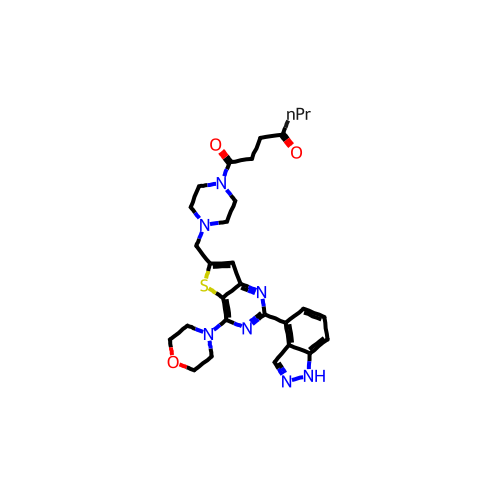 CCCC(=O)CCC(=O)N1CCN(Cc2cc3nc(-c4cccc5[nH]ncc45)nc(N4CCOCC4)c3s2)CC1